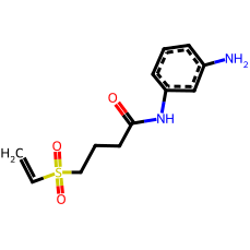 C=CS(=O)(=O)CCCC(=O)Nc1cccc(N)c1